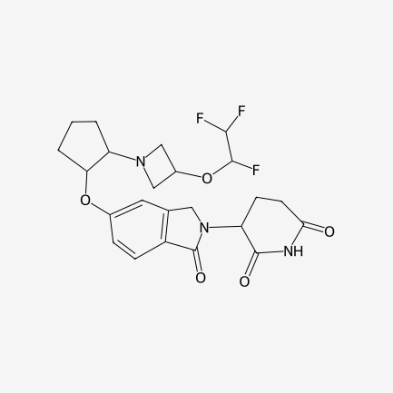 O=C1CCC(N2Cc3cc(OC4CCCC4N4CC(OC(F)C(F)F)C4)ccc3C2=O)C(=O)N1